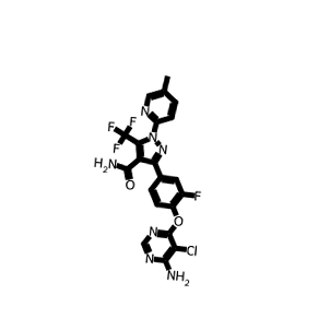 Cc1ccc(-n2nc(-c3ccc(Oc4ncnc(N)c4Cl)c(F)c3)c(C(N)=O)c2C(F)(F)F)nc1